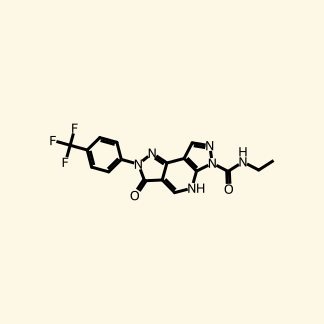 CCNC(=O)n1ncc2c3nn(-c4ccc(C(F)(F)F)cc4)c(=O)c-3c[nH]c21